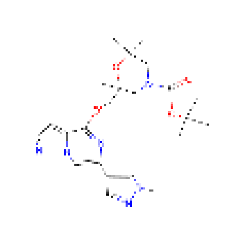 Cn1cc(-c2cn3nccc3c(OCC3(C)CN(C(=O)OC(C)(C)C)CC(C)(C)O3)n2)cn1